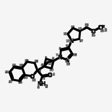 NC(=O)C1(C23CC(n4cc(N5CC[C@@H](COC(F)(F)F)C5)cn4)(C2)C3)CCc2ccccc2O1